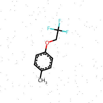 Cc1ccc(OCC(F)(F)F)cc1